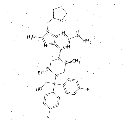 CC[C@@H]1CN(c2nc(NN)nc3c2nc(C)n3CC2CCCO2)[C@@H](C)CN1C(CO)(c1ccc(F)cc1)c1ccc(F)cc1